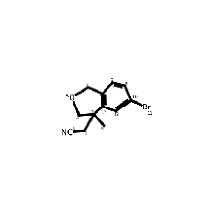 CC1(CC#N)COCc2ccc(Br)cc21